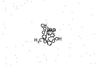 CCOC(=O)C(=O)N(c1ccc(C)c(Oc2ccccc2)c1)c1c([N+](=O)[O-])sc(C(=O)O)c1C